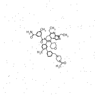 CCc1nc2c(cnn2CC)c(NC2CCOCC2)c1CN(Cc1ccc(C)c(-c2cccc(CN3CCN(C(C)=O)CC3)c2)c1)C(=O)c1cc(C)cc(C(N)=O)c1